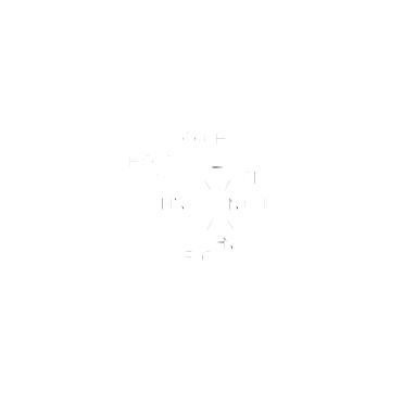 CN(c1ccc(C(F)(F)F)nc1)c1c(Cl)ccc2c1CCNCC2C(CC(=O)O)C(=O)O